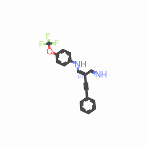 N=C/C(C#Cc1ccccc1)=C\Nc1ccc(OC(F)(F)F)cc1